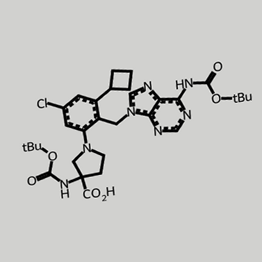 CC(C)(C)OC(=O)Nc1ncnc2c1ncn2Cc1c(C2CCC2)cc(Cl)cc1N1CCC(NC(=O)OC(C)(C)C)(C(=O)O)C1